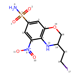 NS(=O)(=O)c1cc2c(c([N+](=O)[O-])c1)NC(CCI)CO2